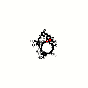 CO[C@]1(C)C[C@H](C)[C@@H]2C[C@@](O)(NC(=O)O2)[C@H](CO)/C=C/C=C(\C)Cc2cc(CO)c(Cl)c(c2)N(C)C(=O)C[C@@H]1OC(=O)[C@H](C)N(C)C(=O)CCSC1CC(=O)N(CC2CCC(C(C)=O)CC2)C1=O